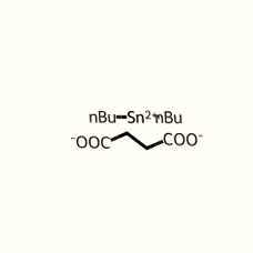 CCC[CH2][Sn+2][CH2]CCC.O=C([O-])CCC(=O)[O-]